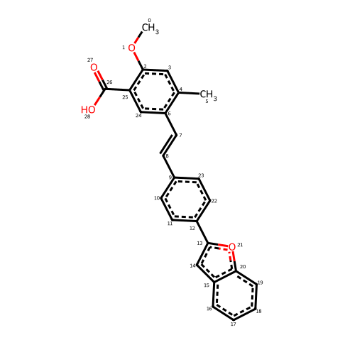 COc1cc(C)c(C=Cc2ccc(-c3cc4ccccc4o3)cc2)cc1C(=O)O